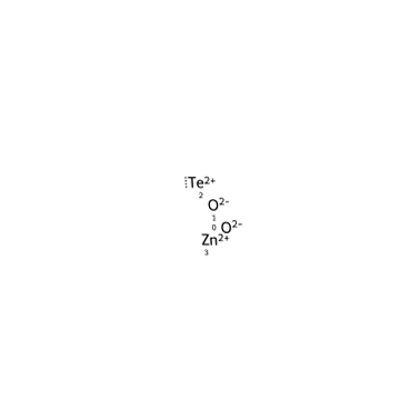 [O-2].[O-2].[Te+2].[Zn+2]